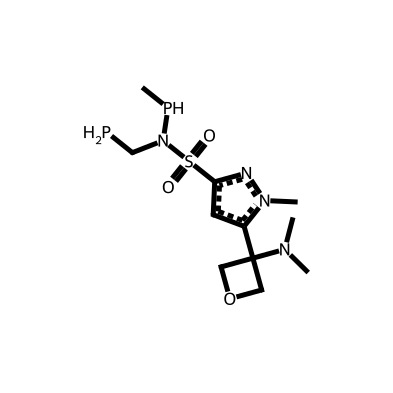 CPN(CP)S(=O)(=O)c1cc(C2(N(C)C)COC2)n(C)n1